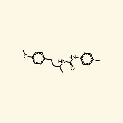 COc1ccc(CCC(C)NC(=O)Nc2ccc(C)cc2)cc1